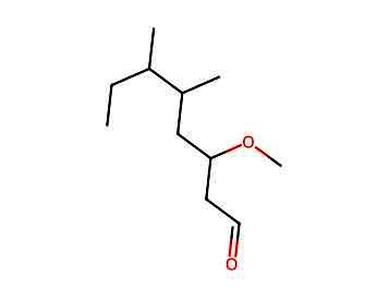 CCC(C)C(C)CC(CC=O)OC